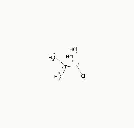 CP(C)CCl.Cl.Cl